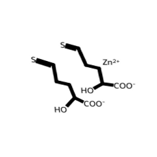 O=C([O-])C(O)CCC=S.O=C([O-])C(O)CCC=S.[Zn+2]